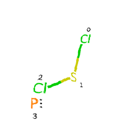 ClSCl.[P]